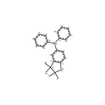 CC1(C)Oc2ccc(N(c3ccccc3)c3ccccc3)cc2C1(C)C